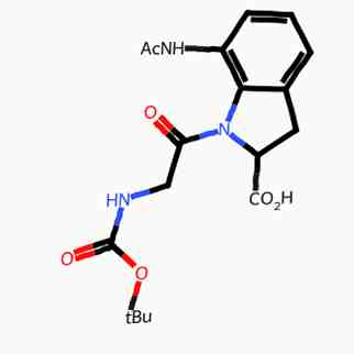 CC(=O)Nc1cccc2c1N(C(=O)CNC(=O)OC(C)(C)C)C(C(=O)O)C2